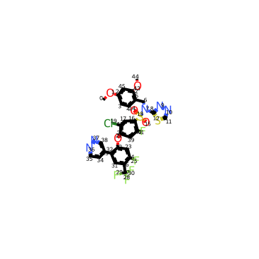 COc1ccc(CN(c2nncs2)S(=O)(=O)c2cc(Cl)c(Oc3cc(F)c(C(F)(F)F)cc3-c3ccnnc3)cc2F)c(OC)c1